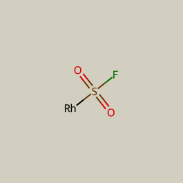 O=[S](=O)(F)[Rh]